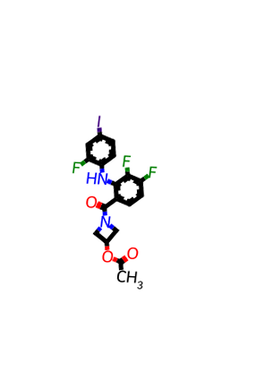 CC(=O)OC1CN(C(=O)c2ccc(F)c(F)c2Nc2ccc(I)cc2F)C1